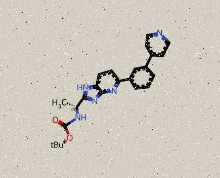 C[C@@H](NC(=O)OC(C)(C)C)c1nc2nc(-c3cccc(-c4ccncc4)c3)ccc2[nH]1